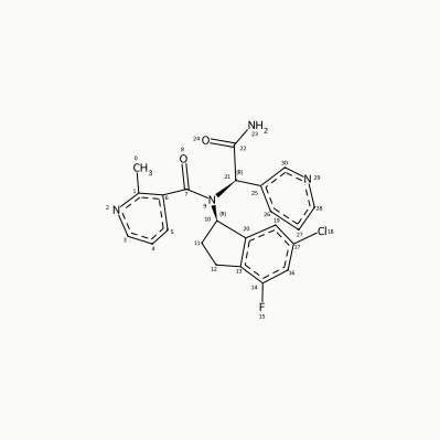 Cc1ncccc1C(=O)N([C@@H]1CCc2c(F)cc(Cl)cc21)[C@@H](C(N)=O)c1cccnc1